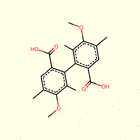 COc1c(C)cc(C(=O)O)c(-c2c(C(=O)O)cc(C)c(OC)c2C)c1C